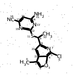 Cc1coc2c(Cl)nc(C(C)Sc3nc(N)cc(C#N)n3)cc12